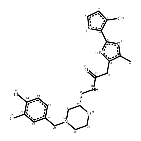 Cc1oc(-c2sccc2Cl)nc1CC(=O)NC[C@H]1CN(Cc2ccc(Cl)c(Cl)c2)CCO1